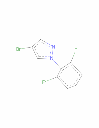 Fc1cccc(F)c1-n1cc(Br)cn1